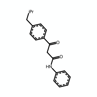 CC(C)Cc1ccc(C(=O)CC(=O)Nc2ccccc2)cc1